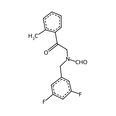 Cc1ccccc1C(=O)CN(C=O)Cc1cc(F)cc(F)c1